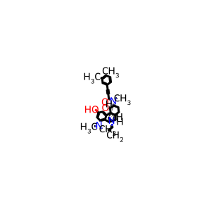 C=CCN1CC[C@]23c4c5c(N(C)C)cc(O)c4O[C@H]2[C@@H](N(C)C(=O)C#Cc2ccc(C)c(C)c2)CC[C@H]3[C@H]1C5